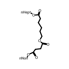 CCCCCCCCCOC(=O)CCC(=O)OCCCCCC(=O)OCCCCCCC